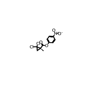 C[C@@]1(C(=O)Oc2ccc([N+](=O)[O-])cc2)CC1(Cl)Cl